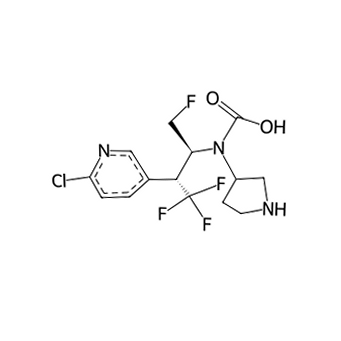 O=C(O)N(C1CCNC1)[C@H](CF)[C@@H](c1ccc(Cl)nc1)C(F)(F)F